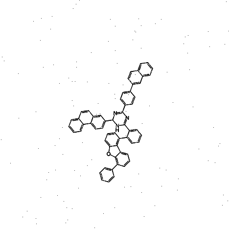 c1ccc(-c2cccc3c2oc2cccc(-c4ccccc4C4=NC(c5ccc(-c6ccc7ccccc7c6)cc5)=NC(c5ccc6c(ccc7ccccc76)c5)N4)c23)cc1